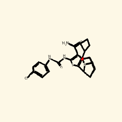 NC(=O)c1c(NC(=O)Nc2ccc(Cl)cc2)sc2c1CC1CCC2N1CC1CCC1